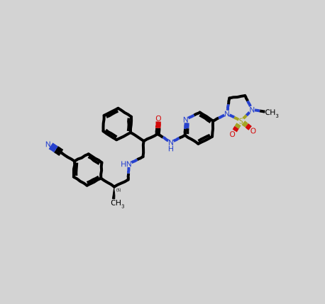 C[C@H](CNCC(C(=O)Nc1ccc(N2CCN(C)S2(=O)=O)cn1)c1ccccc1)c1ccc(C#N)cc1